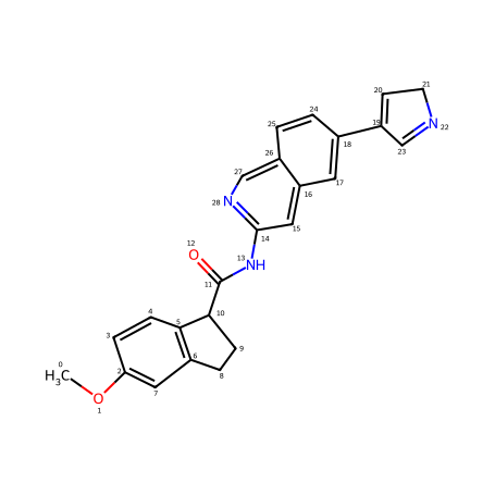 COc1ccc2c(c1)CCC2C(=O)Nc1cc2cc(C3=CCN=C3)ccc2cn1